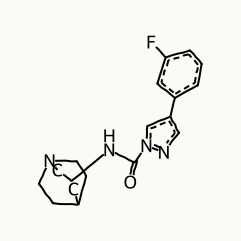 O=C(NC1CC2CCN(CC2)C1)n1cc(-c2cccc(F)c2)cn1